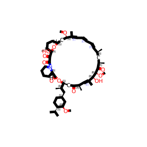 CO[C@H]1C[C@@H]2CC[C@@H](C)[C@@](O)(O2)C(=O)C(=O)N2CCCC[C@H]2C(=O)O[C@H]([C@H](C)C[C@@H]2CC[C@@H](C(C)C)[C@H](OC)C2)CC(=O)[C@H](C)/C=C(\C)[C@@H](O)[C@@H](OC)C(=O)[C@H](C)C[C@H](C)/C=C/C=C/C=C/1C